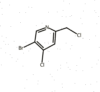 ClCc1cc(Cl)c(Br)cn1